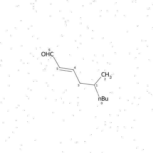 CCCCC(C)CC=CC=O